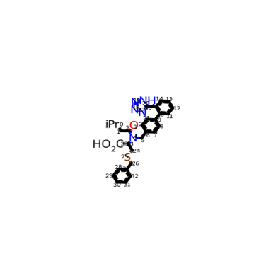 CC(C)CC(=O)N(Cc1ccc(-c2ccccc2-c2nnn[nH]2)cc1)[C@@H](CSCc1ccccc1)C(=O)O